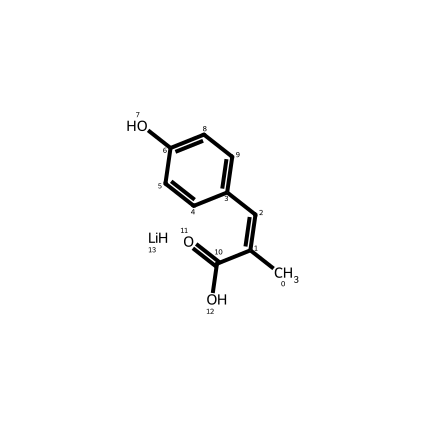 CC(=Cc1ccc(O)cc1)C(=O)O.[LiH]